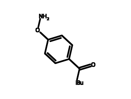 CCC(C)C(=O)c1ccc(ON)cc1